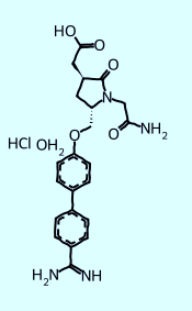 Cl.N=C(N)c1ccc(-c2ccc(OC[C@@H]3C[C@@H](CC(=O)O)C(=O)N3CC(N)=O)cc2)cc1.O